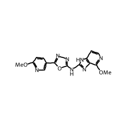 COc1ccc(-c2nnc(Nc3nc4c(OC)nccc4[nH]3)o2)cn1